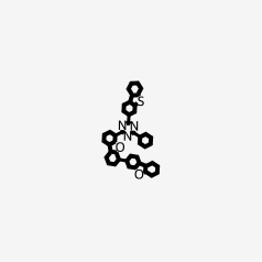 c1ccc(-c2nc(-c3ccc4c(c3)sc3ccccc34)nc(-c3cccc4c3oc3c(-c5ccc6c(c5)oc5ccccc56)cccc34)n2)cc1